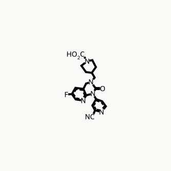 N#Cc1cc(N2C(=O)N(CC3CCN(C(=O)O)CC3)Cc3cc(F)cnc32)ccn1